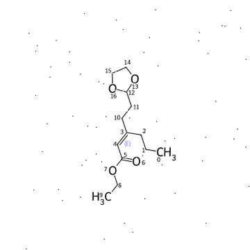 CCC/C(=C\C(=O)OCC)CCC1OCCO1